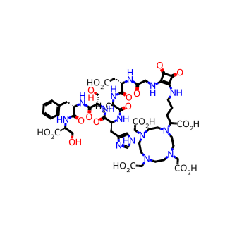 C[C@H](NC(=O)[C@H](CC(=O)O)NC(=O)CNc1c(NCCCC(C(=O)O)N2CCN(CC(=O)O)CCN(CC(=O)O)CCN(CC(=O)O)CC2)c(=O)c1=O)C(=O)N[C@@H](Cc1c[nH]cn1)C(=O)N[C@@H](CO)C(=O)N[C@@H](Cc1ccccc1)C(=O)N[C@@H](CO)C(=O)O